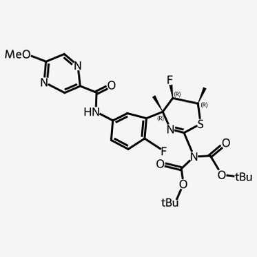 COc1cnc(C(=O)Nc2ccc(F)c([C@@]3(C)N=C(N(C(=O)OC(C)(C)C)C(=O)OC(C)(C)C)S[C@H](C)[C@@H]3F)c2)cn1